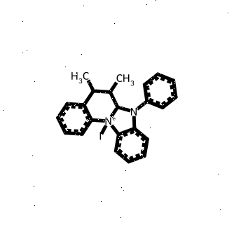 CC1c2ccccc2[N+]2(I)c3ccccc3N(c3ccccc3)C2C1C